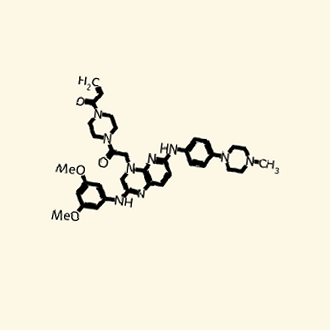 C=CC(=O)N1CCN(C(=O)CN2CC(Nc3cc(OC)cc(OC)c3)=Nc3ccc(Nc4ccc(N5CCN(C)CC5)cc4)nc32)CC1